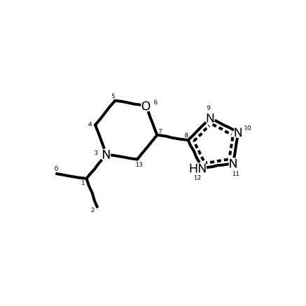 CC(C)N1CCOC(c2nnn[nH]2)C1